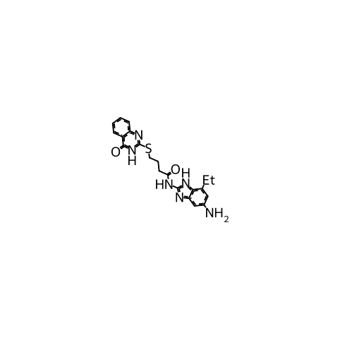 CCc1cc(N)cc2nc(NC(=O)CCCSc3nc4ccccc4c(=O)[nH]3)[nH]c12